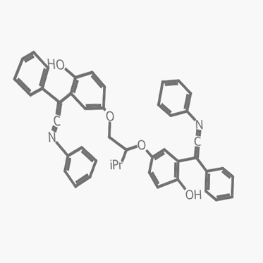 CC(C)C(COc1ccc(O)c(C(=C=Nc2ccccc2)c2ccccc2)c1)Oc1ccc(O)c(C(=C=Nc2ccccc2)c2ccccc2)c1